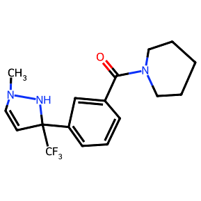 CN1C=CC(c2cccc(C(=O)N3CCCCC3)c2)(C(F)(F)F)N1